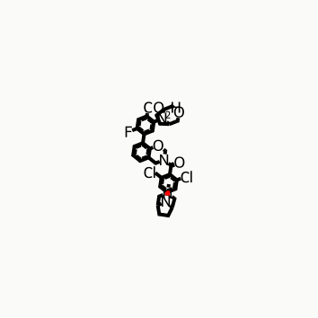 CN1CC2CCC(C1)N2c1cc(Cl)c(C(=O)N2COc3c(cccc3-c3cc(N4C5CCC4COC5)c(C(=O)O)cc3F)C2)c(Cl)c1